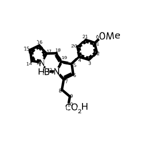 COc1ccc(C2C=C(CCC(=O)O)N3Bn4cccc4C=C23)cc1